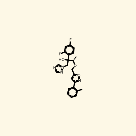 Cc1ccccc1-c1cc(CO[C@H](C)C(O)(Cn2cncn2)c2ccc(F)cc2F)on1